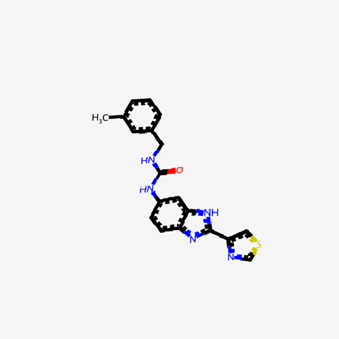 Cc1cccc(CNC(=O)Nc2ccc3nc(-c4cscn4)[nH]c3c2)c1